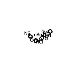 CCCCN1C(=O)[C@@H](CC2(O)CCCCC2)NC(=O)C12CCN(Cc1ccc(Oc3ccc(C#N)cc3)cc1)CC2.Cl